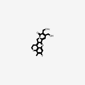 CC(=O)OCc1c(CO)cc2n(c1=O)Cc1c-2nc2cc(F)c(C)c3c2c1CCS3